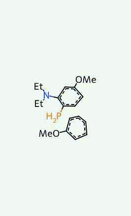 CCN(CC)c1cc(OC)ccc1P.COc1ccccc1